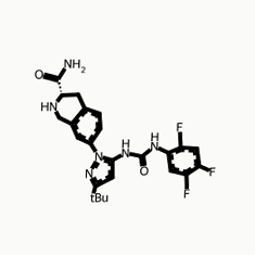 CC(C)(C)c1cc(NC(=O)Nc2cc(F)c(F)cc2F)n(-c2ccc3c(c2)CN[C@H](C(N)=O)C3)n1